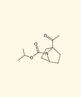 CC(=O)C12CCC(CC1)N2C(=O)OC(C)C